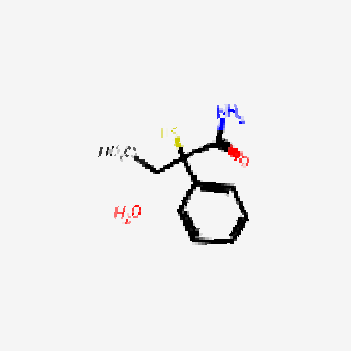 NC(=O)C(S)(CC(=O)O)c1ccccc1.O